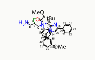 COCC(=O)[N+](C[C@H](F)CN)(c1ccccc1)[C@@H](c1nc(-c2ccccc2)cn1Cc1cccc(OC)c1)C(C)(C)C